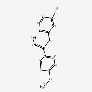 COc1ccc(C(Cc2cc(Cl)ccn2)=NO)cc1